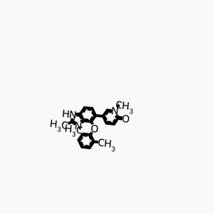 Cc1nc2c(Oc3c(C)cccc3C)c(-c3ccc(=O)n(C)c3)ccc2[nH]1